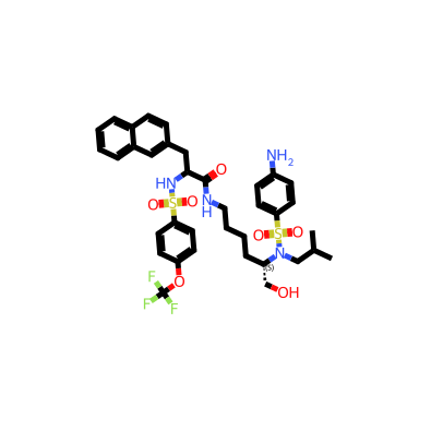 CC(C)CN([C@H](CO)CCCCNC(=O)C(Cc1ccc2ccccc2c1)NS(=O)(=O)c1ccc(OC(F)(F)F)cc1)S(=O)(=O)c1ccc(N)cc1